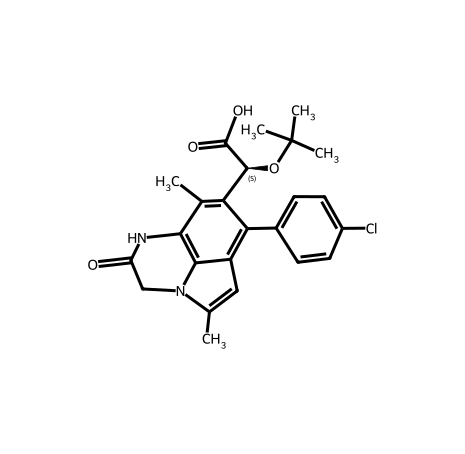 Cc1c([C@H](OC(C)(C)C)C(=O)O)c(-c2ccc(Cl)cc2)c2cc(C)n3c2c1NC(=O)C3